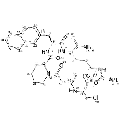 NC(=O)NCCC[C@H](NC(=O)[C@H](Cc1ccc2ccccc2c1)NC(=O)[C@@H]1CCCCN1C(=O)C[C@H](CC(=O)O)NC(=O)CCl)C(N)=O